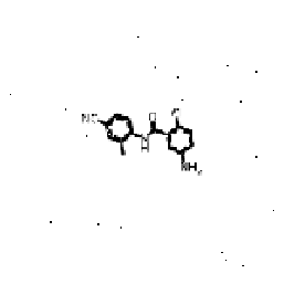 Cc1cc(C#N)ccc1NC(=O)c1cc(N)ccc1Cl